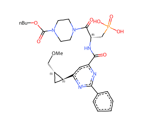 CCCCOC(=O)N1CCN(C(=O)[C@H](CP(=O)(O)O)NC(=O)c2cc([C@H]3C[C@@H]3COC)nc(-c3ccccc3)n2)CC1